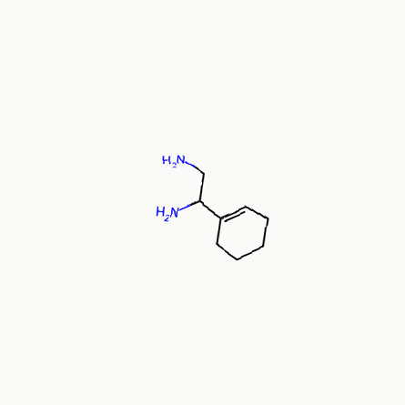 NCC(N)C1=CCCCC1